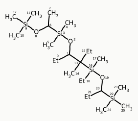 CCC(O[Si](C)(C)C(C)O[Si](C)(C)C)C(C)(CC)[Si](C)(CC)OC(CC)[Si](C)(C)C